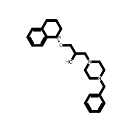 OC(CO[C@H]1CCCc2ccccc21)CN1CCN(Cc2ccccc2)CC1